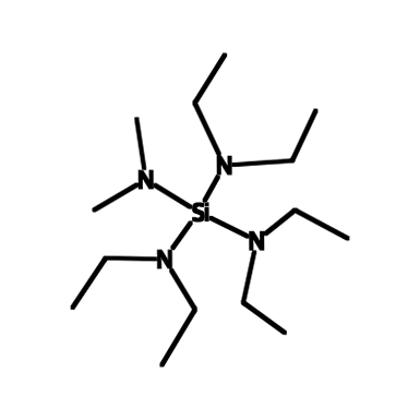 CCN(CC)[Si](N(C)C)(N(CC)CC)N(CC)CC